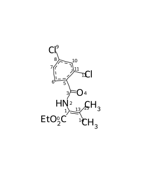 CCOC(=O)C(NC(=O)c1ccc(Cl)cc1Cl)=C(C)C